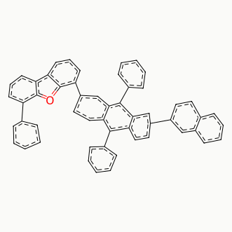 c1ccc(-c2c3ccc(-c4ccc5ccccc5c4)cc3c(-c3ccccc3)c3cc(-c4cccc5c4oc4c(-c6ccccc6)cccc45)ccc23)cc1